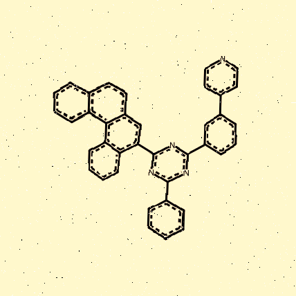 c1ccc(-c2nc(-c3cccc(-c4ccncc4)c3)nc(-c3cc4ccc5ccccc5c4c4ccccc34)n2)cc1